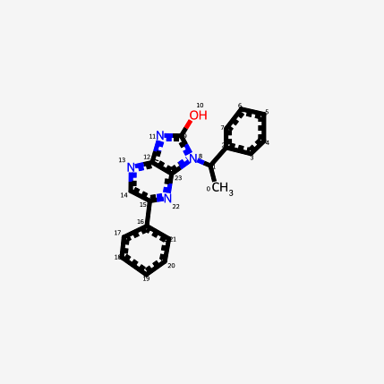 CC(c1ccccc1)n1c(O)nc2ncc(-c3ccccc3)nc21